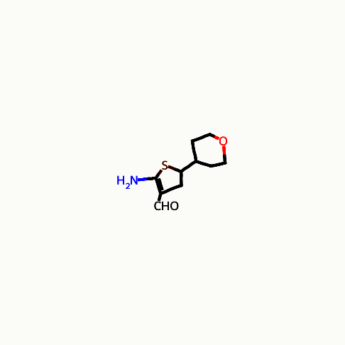 NC1=C(C=O)CC(C2CCOCC2)S1